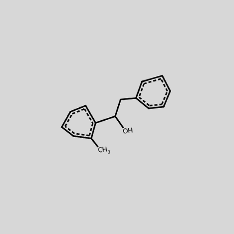 Cc1ccccc1C(O)Cc1ccccc1